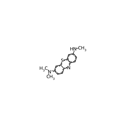 CNc1ccc2nc3ccc(=[N+](C)C)cc-3sc2c1